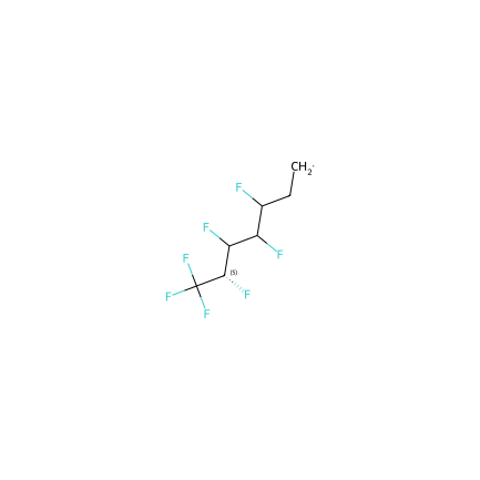 [CH2]CC(F)C(F)C(F)[C@H](F)C(F)(F)F